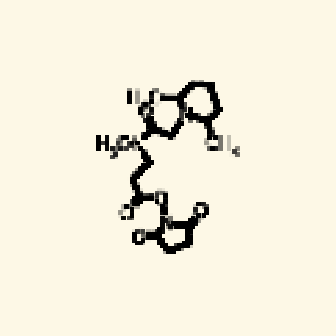 CC1CCCC(C)N1CC(=O)N(C)CCC(=O)ON1C(=O)CCC1=O